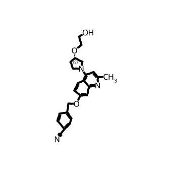 Cc1cc(N2CC[C@H](OCCO)C2)c2ccc(OCc3ccc(C#N)cc3)cc2n1